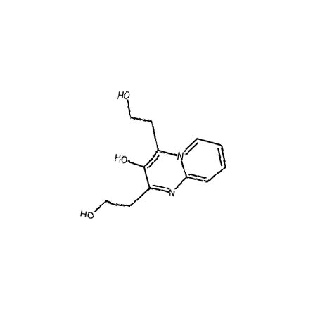 OCCc1nc2cccc[n+]2c(CCO)c1O